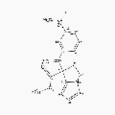 CCCCOC(=O)C1(C(=O)c2cccc([S+](C)[O-])c2)CCn2cccc21